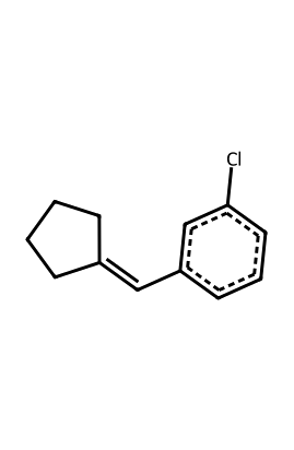 Clc1cccc(C=C2CCCC2)c1